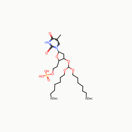 CCCCCCCCCCCCCCCCOC(OCCCCCCCCCCCCCCCC)OC1C[C@H](n2cc(C)c(=O)[nH]c2=O)OC1CCOP(=O)(O)O